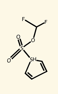 O=S(=O)(OC(F)F)[SH]1C=CC=C1